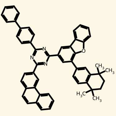 CC1(C)CCC(C)(C)c2cc(-c3cc(-c4nc(-c5ccc(-c6ccccc6)cc5)nc(-c5ccc6ccc7ccccc7c6c5)n4)cc4c3oc3ccccc34)ccc21